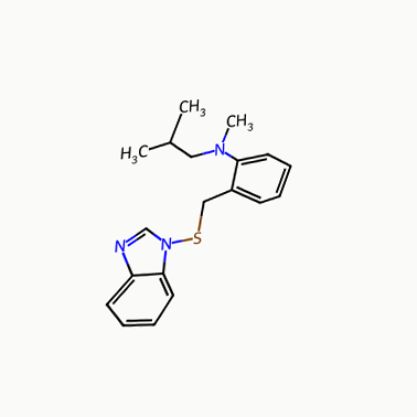 CC(C)CN(C)c1ccccc1CSn1cnc2ccccc21